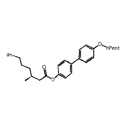 CCCCCOc1ccc(-c2ccc(OC(=O)C[C@@H](C)CCCC(C)C)cc2)cc1